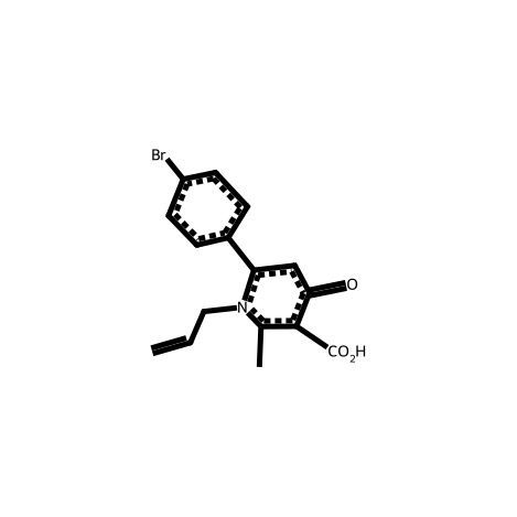 C=CCn1c(-c2ccc(Br)cc2)cc(=O)c(C(=O)O)c1C